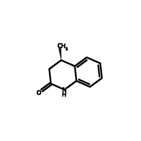 C[C@H]1CC(=O)Nc2ccccc21